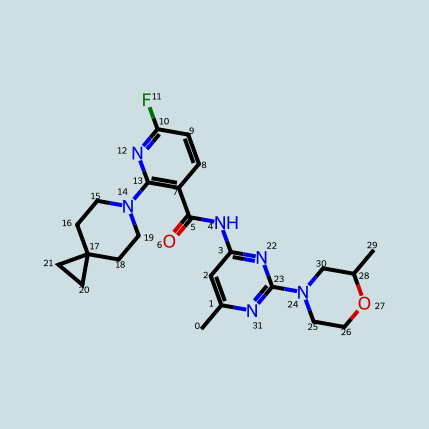 Cc1cc(NC(=O)c2ccc(F)nc2N2CCC3(CC2)CC3)nc(N2CCOC(C)C2)n1